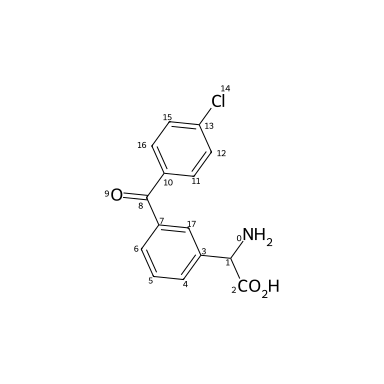 NC(C(=O)O)c1cccc(C(=O)c2ccc(Cl)cc2)c1